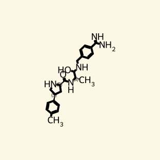 Cc1ccc([C@H]2CN[C@@H](C(=O)N[C@@H](C)C(O)NCc3ccc(C(=N)N)cc3)C2)cc1